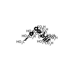 O=C(O)CCCCC(=O)O.O=C(O)CCCCC(=O)O.O=C(O)CCCCC(=O)O.O=C(O)CCCCC(=O)O.O=C(O)c1ccc(C(=O)O)cc1.O=C(O)c1ccc(C(=O)O)cc1.O=C(O)c1ccc(C(=O)O)cc1.O=C1OCCOC(=O)c2ccc1cc2